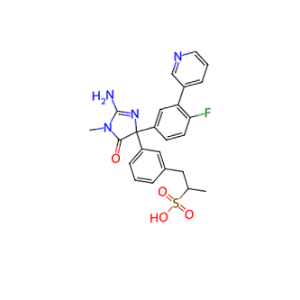 CC(Cc1cccc(C2(c3ccc(F)c(-c4cccnc4)c3)N=C(N)N(C)C2=O)c1)S(=O)(=O)O